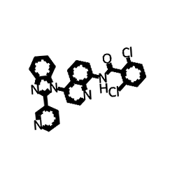 O=C(Nc1cccc2c(-n3c(-c4cccnc4)nc4ccccc43)ccnc12)c1c(Cl)cccc1Cl